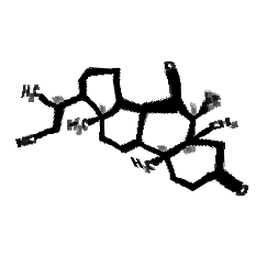 CC[C@@H]1C(=O)C2C3CCC([C@H](C)CC#N)[C@@]3(C)CCC2[C@@]2(C)CCC(=O)C[C@@]12C